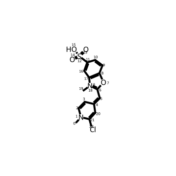 CN1C=C/C(=C\c2oc3ccc(S(=O)(=O)O)cc3[n+]2C)C=C1Cl